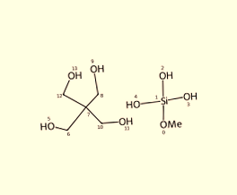 CO[Si](O)(O)O.OCC(CO)(CO)CO